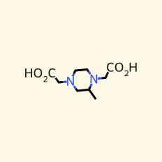 CC1CN(CC(=O)O)CCN1CC(=O)O